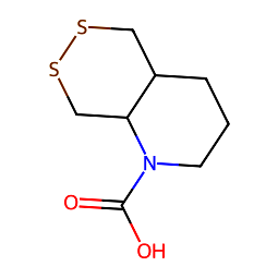 O=C(O)N1CCCC2CSSCC21